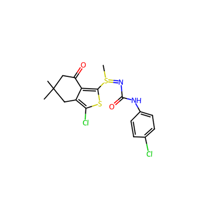 C/S(=N/C(=O)Nc1ccc(Cl)cc1)c1sc(Cl)c2c1C(=O)CC(C)(C)C2